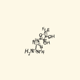 Nc1nc(F)nc2c1ncn2[C@@H]1OC(=C(F)F)[C@@H](O)[C@H]1O